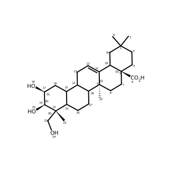 CC1(C)CC[C@]2(C(=O)O)CC[C@]3(C)C(=CCC4C5C[C@H](O)[C@H](O)[C@@](C)(CO)C5CCC43)C2C1